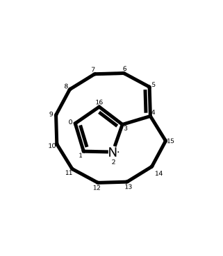 C1=C[N]C(/C2=C\CCCCCCCCCC2)=C1